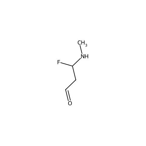 CNC(F)CC=O